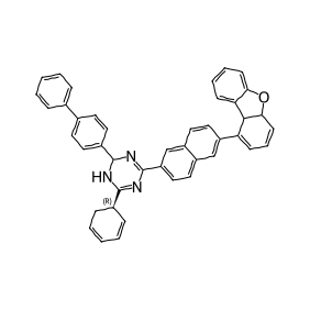 C1=CC[C@@H](C2=NC(c3ccc4cc(C5=CC=CC6Oc7ccccc7C56)ccc4c3)=NC(c3ccc(-c4ccccc4)cc3)N2)C=C1